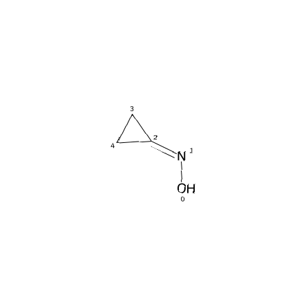 ON=C1CC1